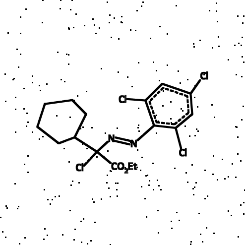 CCOC(=O)C(Cl)(N=Nc1c(Cl)cc(Cl)cc1Cl)C1CCCCC1